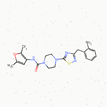 Cc1cc(NC(=O)N2CCN(c3nc(Cc4ccccc4[N+](=O)[O-])ns3)CC2)c(C(F)(F)F)o1